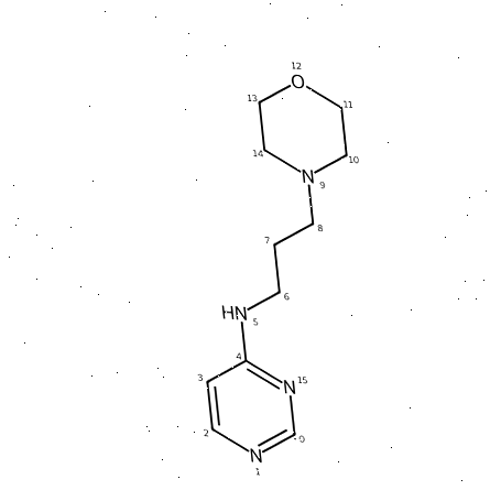 [c]1nccc(NCCCN2CCOCC2)n1